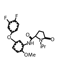 COc1ccc(Oc2ccc(F)c(F)c2)cc1NC(=O)C1CCC(=O)N1C(C)C